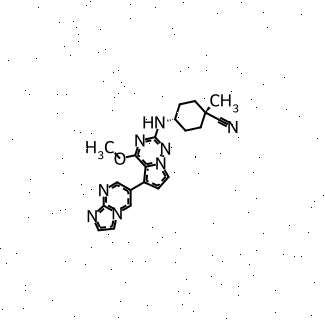 COc1nc(N[C@H]2CC[C@@](C)(C#N)CC2)nn2ccc(-c3cnc4nccn4c3)c12